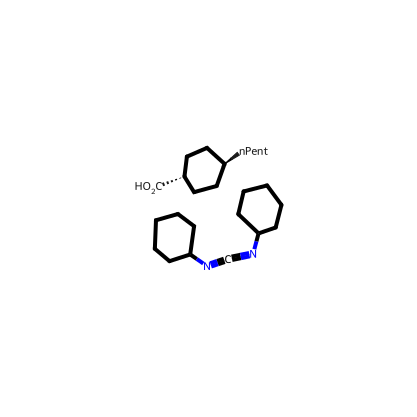 C(=NC1CCCCC1)=NC1CCCCC1.CCCCC[C@H]1CC[C@H](C(=O)O)CC1